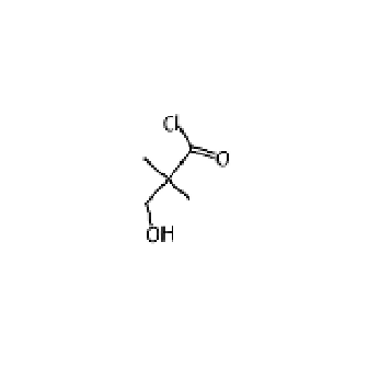 CC(C)(CO)C(=O)Cl